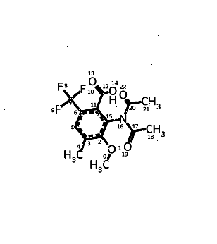 COc1c(C)cc(C(F)(F)F)c(C(=O)O)c1N(C(C)=O)C(C)=O